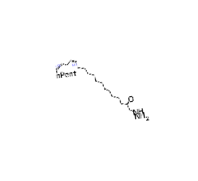 CCCCC/C=C\C/C=C\CCCCCCCCCCCC(=O)CNN